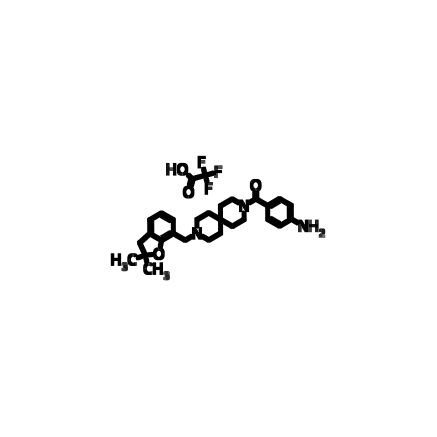 CC1(C)Cc2cccc(CN3CCC4(CC3)CCN(C(=O)c3ccc(N)cc3)CC4)c2O1.O=C(O)C(F)(F)F